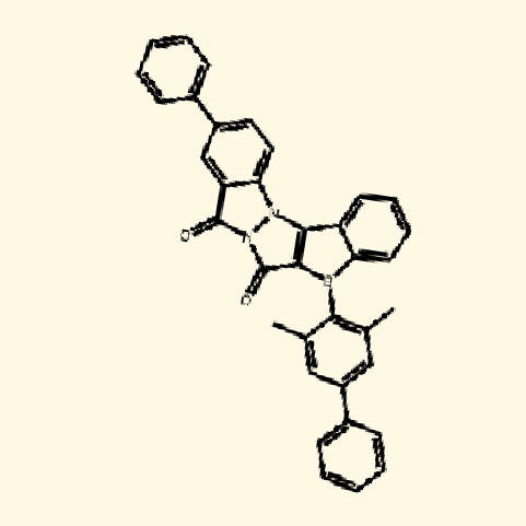 Cc1cc(-c2ccccc2)cc(C)c1B1c2ccccc2-c2c1c(=O)n1c(=O)c3cc(-c4ccccc4)ccc3n21